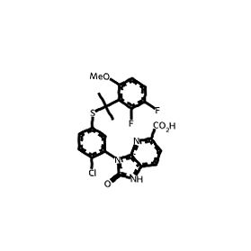 COc1ccc(F)c(F)c1C(C)(C)Sc1ccc(Cl)c(-n2c(=O)[nH]c3ccc(C(=O)O)nc32)c1